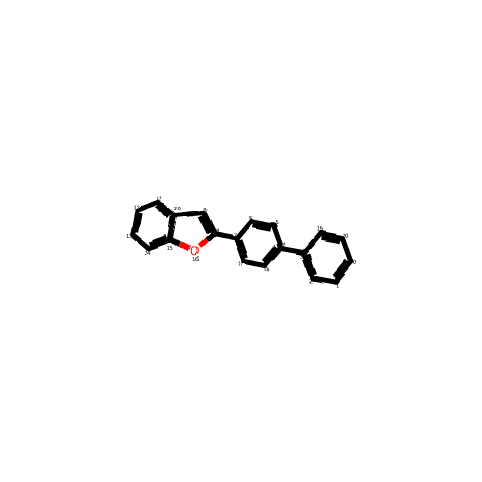 c1ccc(-c2ccc(-c3cc4ccccc4o3)cc2)cc1